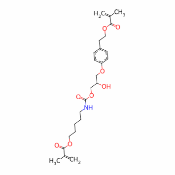 C=C(C)C(=O)OCCCCCNC(=O)OCC(O)COc1ccc(CCOC(=O)C(=C)C)cc1